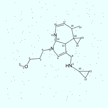 COCCCN1C=C(CNC2CC2)C2C1=NC=CC(C)C21CC1